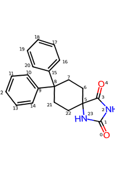 O=C1NC(=O)C2(CCC(c3ccccc3)(c3ccccc3)CC2)N1